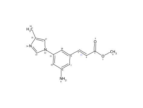 COC(=O)/C=C/c1cc(N)cc(-n2cnc(C)c2)c1